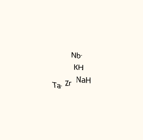 [KH].[NaH].[Nb].[Ta].[Zr]